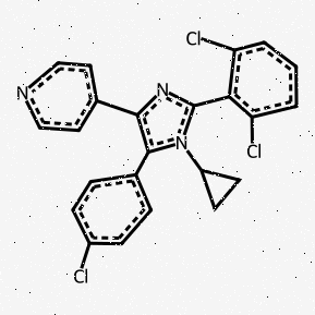 Clc1ccc(-c2c(-c3ccncc3)nc(-c3c(Cl)cccc3Cl)n2C2CC2)cc1